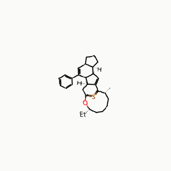 CC[C@H]1CCCC[C@@H](C)C2=S=C(C[C@@H]3C2=CC2C3C(c3ccccc3)=CC3CCC[C@H]32)O1